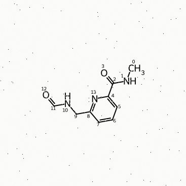 CNC(=O)c1cccc(CNC=O)n1